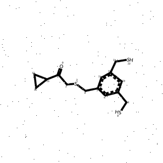 O=C(CSCc1cc(CS)cc(CS)c1)C1CC1